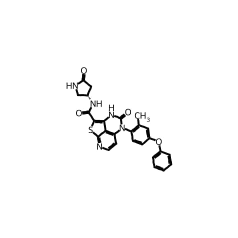 Cc1cc(Oc2ccccc2)ccc1N1C(=O)Nc2c(C(=O)N[C@@H]3CNC(=O)C3)sc3nccc1c23